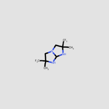 CC1(C(F)(F)F)CN2CC(C)(C(F)(F)F)NC2N1